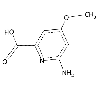 COc1cc(N)nc(C(=O)O)c1